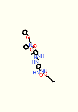 CCCCCCOC(=O)NC(=N)c1ccc(NCc2nc3c(C)c(OC(=O)N(CCCOCc4ccccc4)c4ccccc4)ccc3[nH]2)cc1